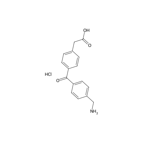 Cl.NCc1ccc(C(=O)c2ccc(CC(=O)O)cc2)cc1